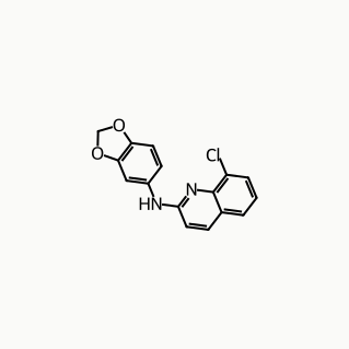 Clc1cccc2ccc(Nc3ccc4c(c3)OCO4)nc12